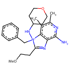 COCCC1=Nc2c(N)nc(C)c(C)c2[N+]1(Cc1ccccc1)NC1CCOCC1